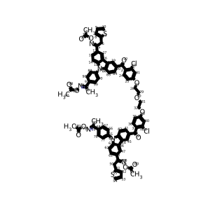 CC(=O)ON=C(Cc1cccs1)c1ccc2c(c1)c1cc(C(=O)c3ccc(OCCOCCOc4ccc(C(=O)c5ccc6c(c5)c5cc(C(Cc7cccs7)=NOC(C)=O)ccc5n6-c5ccc(/C(C)=N/OC(C)=O)cc5)c(Cl)c4)cc3Cl)ccc1n2-c1ccc(/C(C)=N/OC(C)=O)cc1